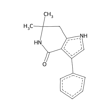 CC1(C)Cc2[nH]cc(-c3ccccc3)c2C(=O)N1